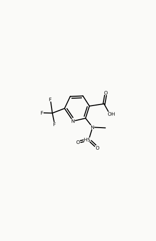 CN(c1nc(C(F)(F)F)ccc1C(=O)O)[SH](=O)=O